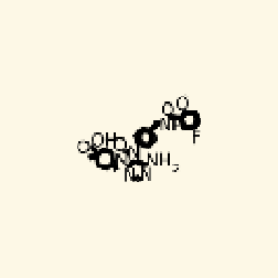 COc1ccc(F)cc1C(=O)NCc1ccc(-n2c(=O)n(C3(C)CCC(C)(C(=O)O)CC3)c3ncnc(N)c32)cc1